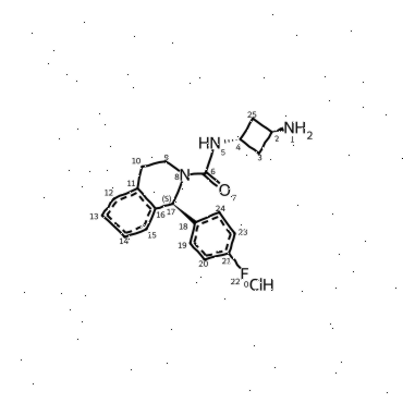 Cl.N[C@H]1C[C@H](NC(=O)N2CCc3ccccc3[C@@H]2c2ccc(F)cc2)C1